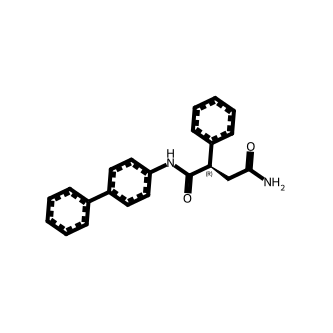 NC(=O)C[C@@H](C(=O)Nc1ccc(-c2ccccc2)cc1)c1ccccc1